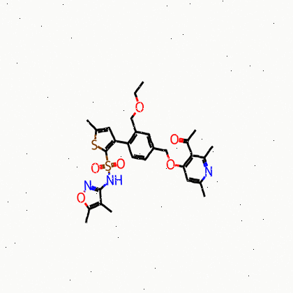 CCOCc1cc(COc2cc(C)nc(C)c2C(C)=O)ccc1-c1cc(C)sc1S(=O)(=O)Nc1noc(C)c1C